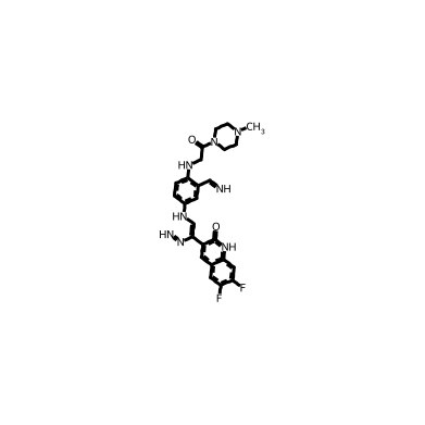 CN1CCN(C(=O)CNc2ccc(N/C=C(\N=N)c3cc4cc(F)c(F)cc4[nH]c3=O)cc2C=N)CC1